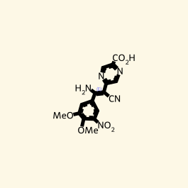 COc1cc(/C(N)=C(\C#N)c2cnc(C(=O)O)cn2)cc([N+](=O)[O-])c1OC